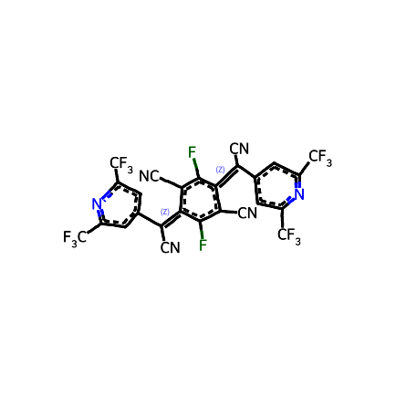 N#C/C(c1cc(C(F)(F)F)nc(C(F)(F)F)c1)=c1\c(F)c(C#N)/c(=C(/C#N)c2cc(C(F)(F)F)nc(C(F)(F)F)c2)c(F)c1C#N